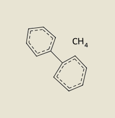 C.c1ccc(-c2ccccc2)cc1